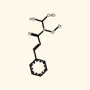 CCON(C(=O)C=Cc1ccccc1)C(O)[C]=O